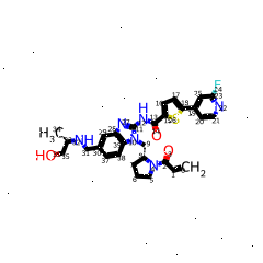 C=CC(=O)N1CCC[C@@H]1Cn1c(NC(=O)c2ccc(-c3ccnc(F)c3)s2)nc2cc(CN[C@@H](C)CO)ccc21